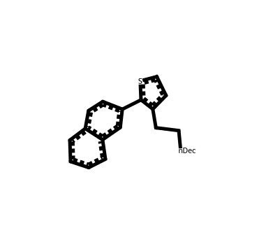 CCCCCCCCCCCCc1c[c]sc1-c1ccc2ccccc2c1